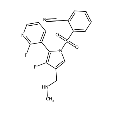 CNCc1cn(S(=O)(=O)c2ccccc2C#N)c(-c2cccnc2F)c1F